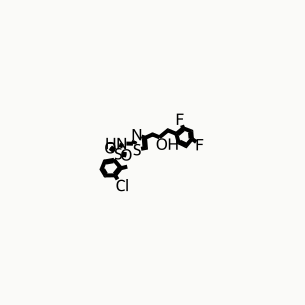 Cc1c(Cl)cccc1S(=O)(=O)Nc1nc(CC(O)Cc2ccc(F)cc2F)cs1